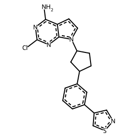 Nc1nc(Cl)nc2c1ccn2C1CCC(c2cccc(-c3cnsc3)c2)C1